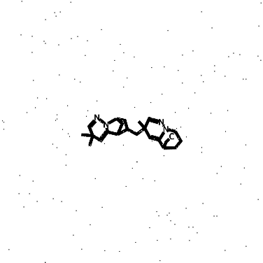 CC1(C)C=NN2C(=C1)C1CC2CC1CC1(C)C=NN2C(=C1)C1CCC2CC1